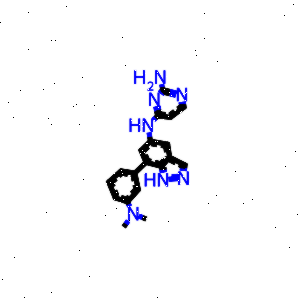 CN(C)c1cccc(-c2cc(Nc3ccnc(N)n3)cc3cn[nH]c23)c1